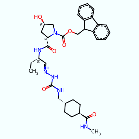 CC[C@@H](/C=N/NC(=O)NC[C@H]1CC[C@H](C(=O)NC)CC1)NC(=O)[C@@H]1C[C@@H](O)CN1C(=O)OCC1c2ccccc2-c2ccccc21